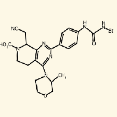 CCNC(=O)Nc1ccc(-c2nc3c(c(N4CCOCC4C)n2)CCN(C(=O)O)C3CC#N)cc1